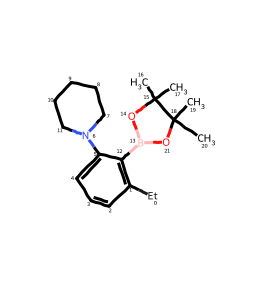 CCc1cccc(N2CCCCC2)c1B1OC(C)(C)C(C)(C)O1